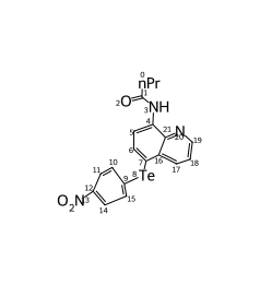 CCCC(=O)Nc1ccc([Te]c2ccc([N+](=O)[O-])cc2)c2cccnc12